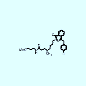 COCCCNC(=O)CCN(C)CCCCn1nc(Cc2ccc(Cl)cc2)c2ccccc2c1=O